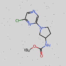 CC(C)(C)OC(=O)NC1CCN(c2cncc(Cl)n2)C1